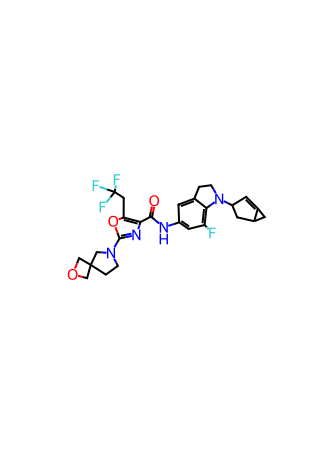 O=C(Nc1cc(F)c2c(c1)CCN2C1C=C2CC2C1)c1nc(N2CCC3(COC3)C2)oc1CC(F)(F)F